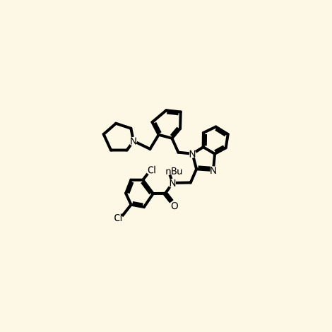 CCCCN(Cc1nc2ccccc2n1Cc1ccccc1CN1CCCCC1)C(=O)c1cc(Cl)ccc1Cl